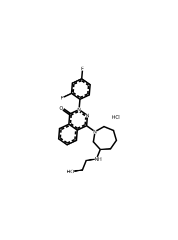 Cl.O=c1c2ccccc2c(N2CCCCC(NCCO)C2)nn1-c1ccc(F)cc1F